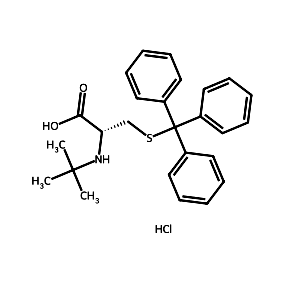 CC(C)(C)N[C@@H](CSC(c1ccccc1)(c1ccccc1)c1ccccc1)C(=O)O.Cl